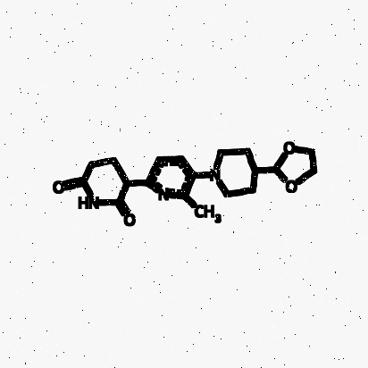 Cc1nc(C2CCC(=O)NC2=O)ccc1N1CCC(C2OCCO2)CC1